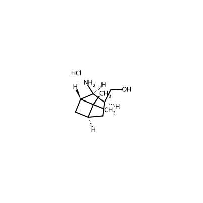 CC1(C)[C@H]2C[C@H](CO)[C@H](N)[C@H]1C2.Cl